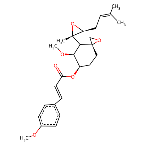 COc1ccc(/C=C/C(=O)O[C@@H]2CC[C@]3(CO3)C([C@]3(C)O[C@H]3CC=C(C)C)[C@@H]2OC)cc1